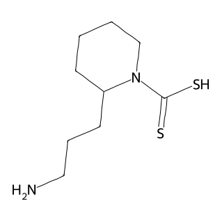 NCCCC1CCCCN1C(=S)S